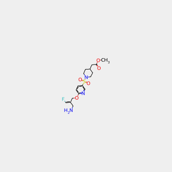 COC(=O)CC1CCN(S(=O)(=O)c2ccc(OC/C(=C\F)CN)nc2)CC1